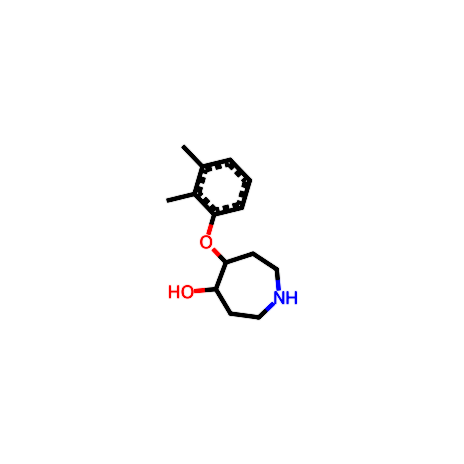 Cc1cccc(OC2CCNCCC2O)c1C